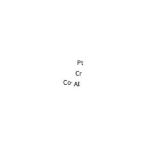 [Al].[Co].[Cr].[Pt]